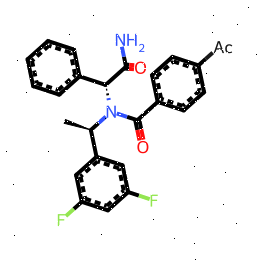 CC(=O)c1ccc(C(=O)N([C@H](C)c2cc(F)cc(F)c2)[C@@H](C(N)=O)c2ccccc2)cc1